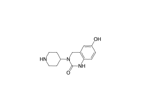 O=C1Nc2ccc(O)cc2CN1C1CCNCC1